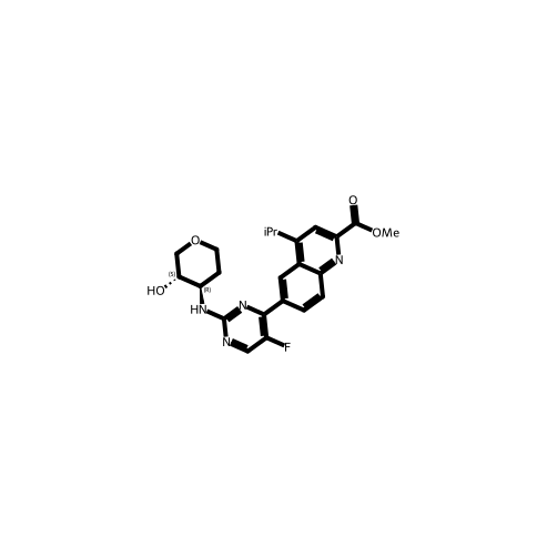 COC(=O)c1cc(C(C)C)c2cc(-c3nc(N[C@@H]4CCOC[C@H]4O)ncc3F)ccc2n1